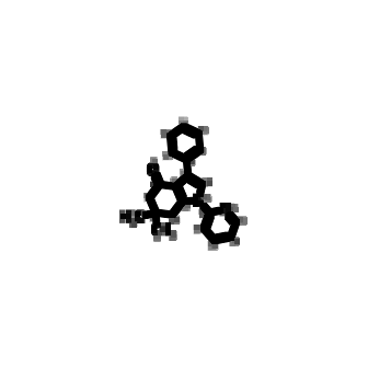 CC1(C)CC(=O)c2c(-c3ccccc3)cn(-c3ccccn3)c2C1